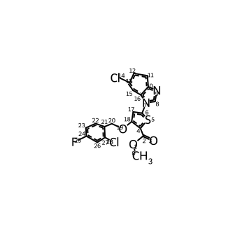 COC(=O)c1sc(-n2cnc3ccc(Cl)cc32)cc1OCc1ccc(F)cc1Cl